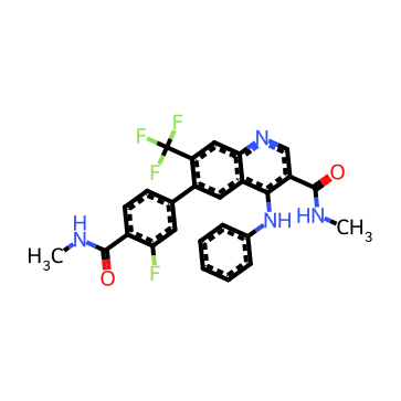 CNC(=O)c1ccc(-c2cc3c(Nc4ccccc4)c(C(=O)NC)cnc3cc2C(F)(F)F)cc1F